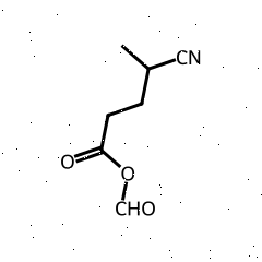 CC(C#N)CCC(=O)OC=O